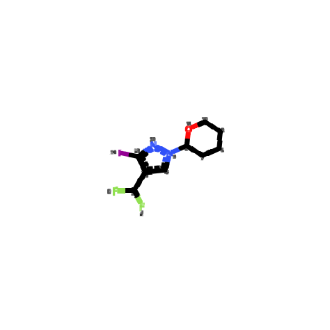 FC(F)c1cn(C2CCCCO2)nc1I